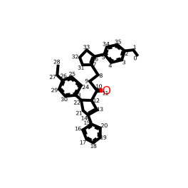 CCc1ccc(C2=C(CCC(=O)C3C=C(c4ccccc4)CC3c3ccc(CC)cc3)CCC2)cc1